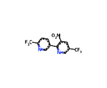 O=[N+]([O-])c1cc(C(F)(F)F)cnc1-c1ccc(C(F)(F)F)nc1